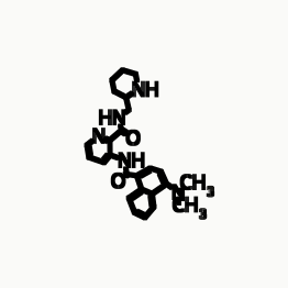 CN(C)c1ccc(C(=O)Nc2cccnc2C(=O)NCC2CCCCN2)c2ccccc12